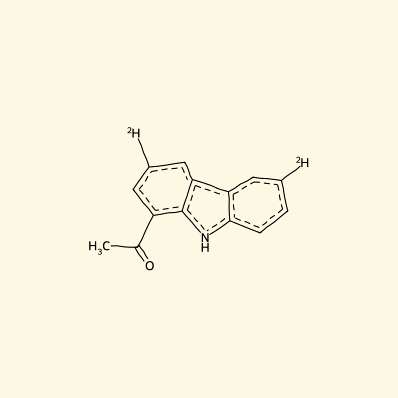 [2H]c1ccc2[nH]c3c(C(C)=O)cc([2H])cc3c2c1